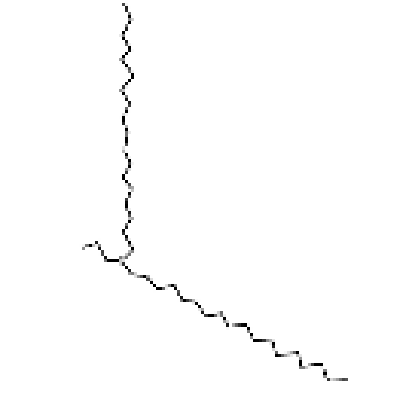 CCCCCCCCCCCCCCCCCCN(CCC)CCCCCCCCCCCCCCCCCC